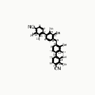 N#Cc1ccc(-c2ccc(Cc3ccc(-c4ccc(C#N)c(I)c4I)c(I)c3I)c(I)c2I)c(I)c1I